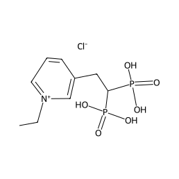 CC[n+]1cccc(CC(P(=O)(O)O)P(=O)(O)O)c1.[Cl-]